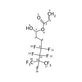 C=CC(=O)OC(O)CCC(F)(F)C(F)(F)C(F)(C(F)(F)F)C(F)(F)F